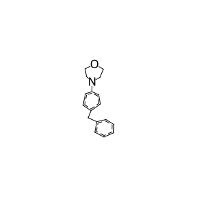 c1ccc(Cc2ccc(N3CCOCC3)cc2)cc1